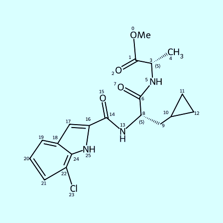 COC(=O)[C@H](C)NC(=O)[C@H](CC1CC1)NC(=O)c1cc2cccc(Cl)c2[nH]1